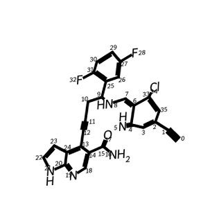 C#CC1=CC(=N)/C(=C\NC(CC#Cc2c(C(N)=O)cnc3[nH]ccc23)c2cc(F)ccc2F)C(Cl)=C1